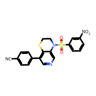 N#Cc1ccc(-c2cncc3c2SCCN3S(=O)(=O)c2cccc([N+](=O)[O-])c2)cc1